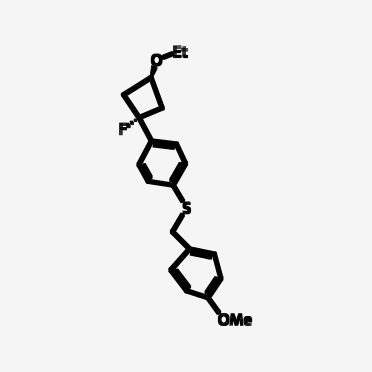 CCO[C@H]1C[C@@](F)(c2ccc(SCc3ccc(OC)cc3)cc2)C1